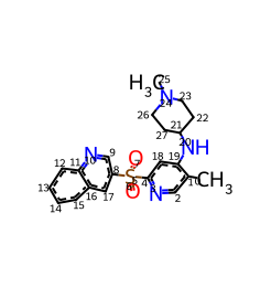 Cc1cnc(S(=O)(=O)c2cnc3ccccc3c2)cc1NC1CCN(C)CC1